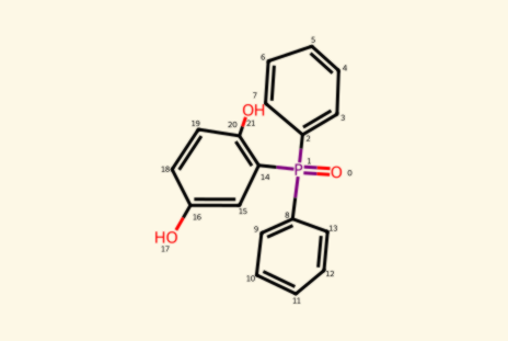 O=P(c1ccccc1)(c1ccccc1)c1cc(O)ccc1O